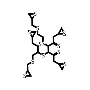 S=C(CC1CS1)C(CSCC1CS1)SC(C(=S)CC1CS1)C(SCCSCC1CS1)C(=S)CC1CS1